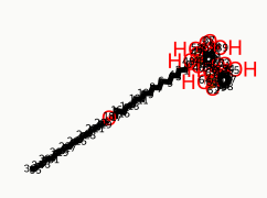 CCCCCCCCCCCCCCCCCCOCCCCCCCCCCCCCCCCCC.O=C(O)c1cccc(S(=O)(=O)O)c1C(=O)O.O=C(O)c1cccc(S(=O)(=O)O)c1C(=O)O